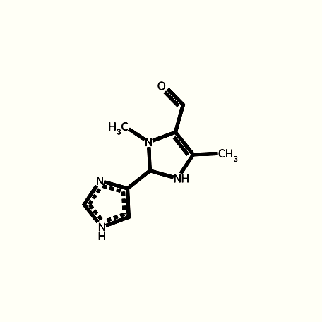 CC1=C(C=O)N(C)C(c2c[nH]cn2)N1